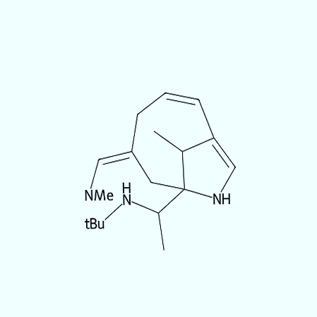 CN/C=C1/C/C=C\C2=CNC(C(C)NC(C)(C)C)(C1)C2C